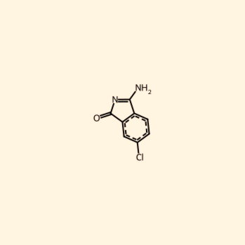 NC1=NC(=O)c2cc(Cl)ccc21